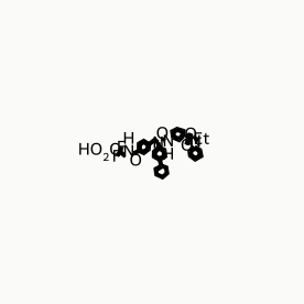 CCN(c1ccccc1)S(=O)(=O)c1cccc(NC(=O)N(Cc2ccc(C(=O)NCC(F)(F)C(=O)O)cc2)c2ccc(C3=CCCCC3)cc2)c1